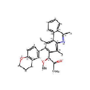 COC(=O)[C@@H](OC(C)(C)C)c1c(-c2ccc3c(c2)CCCO3)c(C)c2c(nc(C)c3ccccc32)c1C